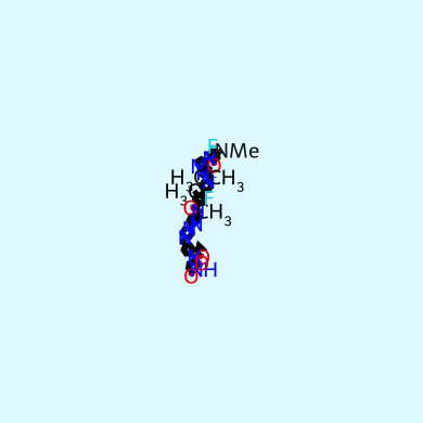 CNc1cc(=O)n(-c2ccnc3c2cc([C@H](C)N2CC=C(c4c(C)cc(C(=O)N(C)c5ccc(N6CCN(Cc7ccc8c(c7)C7(CC7)C(=O)N8C7CCC(=O)NC7=O)CC6)nc5)cc4F)CC2)n3C)cc1F